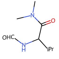 CC(C)C(NC=O)C(=O)N(C)C